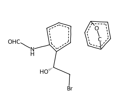 O=CNc1ccccc1[C@@H](O)CBr.c1cc2ccc1CO2